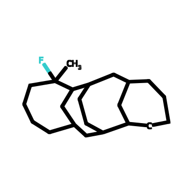 CC1(F)CCCCC2CC3CCC(CC4CCCCC3C4)C1C2